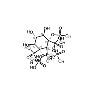 O=P(O)(O)O[C@]1(P(=O)(O)O)[C@@](OP(=O)(O)O)(P(=O)(O)O)[C@@H](O)[C@H](O)[C@@H](O)[C@@]1(OP(=O)(O)O)P(=O)(O)O